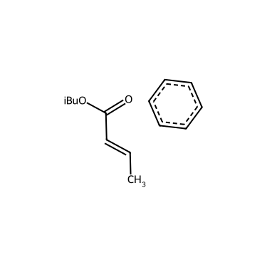 CC=CC(=O)OCC(C)C.c1ccccc1